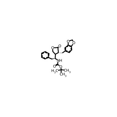 CC(C)(C)OC(=O)N[C@@H](Cc1ccccc1)C1COC(=O)[C@@H]1Cc1ccc2c(c1)OCO2